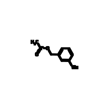 C[N+](=O)OCc1cccc(C(C)(C)C)c1